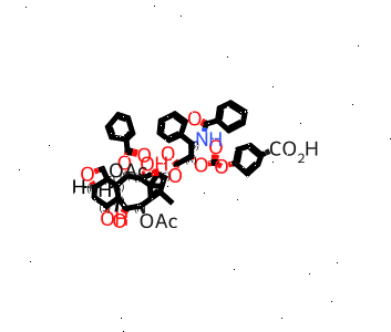 CC(=O)O[C@H]1C(=O)[C@@]2(C)[C@H]([C@H](OC(=O)c3ccccc3)[C@]3(O)C[C@H](OC(=O)[C@H](OC(=O)Oc4ccc(C(=O)O)cc4)[C@@H](NC(=O)c4ccccc4)c4ccccc4)C(C)=C1C3(C)C)[C@]1(OC(C)=O)CO[C@@H]1C[C@@H]2O